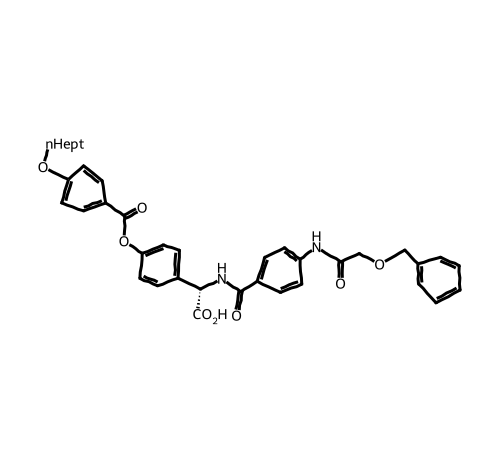 CCCCCCCOc1ccc(C(=O)Oc2ccc([C@H](NC(=O)c3ccc(NC(=O)COCc4ccccc4)cc3)C(=O)O)cc2)cc1